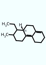 CCC1C(C)CCC2=C3CCCC=C3CC[C@H]21